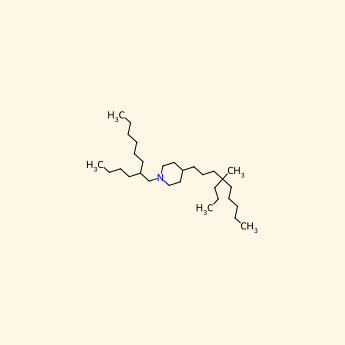 CCCCCCC(CCCC)CN1CCC(CCCC(C)(CCC)CCCCC)CC1